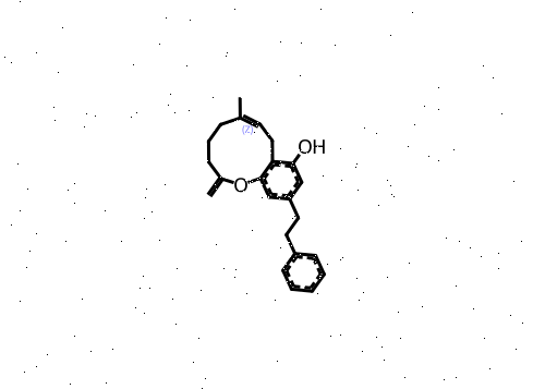 C=C1CCC/C(C)=C\Cc2c(O)cc(CCc3ccccc3)cc2O1